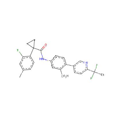 CCC(F)(F)c1ccc(-c2ccc(NC(=O)C3(c4ccc(C)cc4F)CC3)cc2C(=O)O)cn1